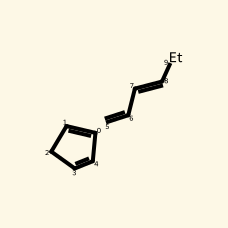 C1=CCC=C1.C=C/C=C/CC